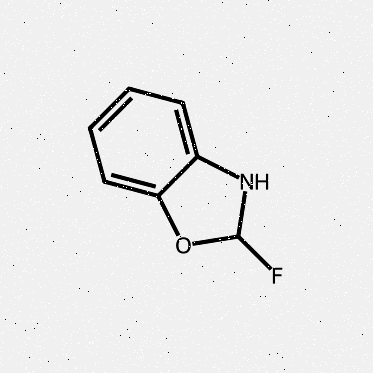 FC1Nc2ccccc2O1